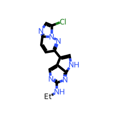 CCNc1ncc2c(-c3ccc4ncc(Cl)n4n3)c[nH]c2n1